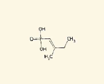 CCC(C)=CP(=O)(O)O